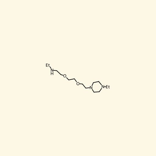 CCNCCOCCOCCN1CCN(CC)CC1